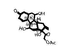 C=C1C[C@H]2[C@@H]3C(O)CC4=CC(=O)C=C[C@]4(C)[C@@]3(F)C(O)C[C@]2(C)[C@@]1(O)C(=O)COC(C)=O